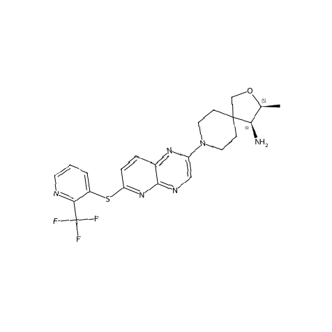 C[C@@H]1OCC2(CCN(c3cnc4nc(Sc5cccnc5C(F)(F)F)ccc4n3)CC2)[C@@H]1N